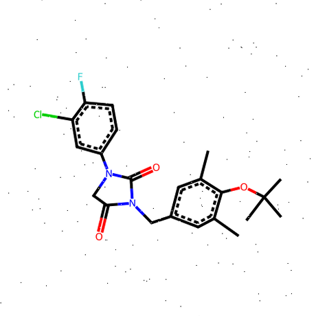 Cc1cc(CN2C(=O)CN(c3ccc(F)c(Cl)c3)C2=O)cc(C)c1OC(C)(C)C